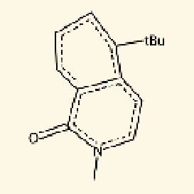 Cn1ccc2c(C(C)(C)C)cccc2c1=O